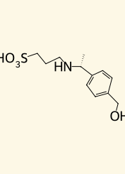 C[C@@H](NCCCS(=O)(=O)O)c1ccc(CO)cc1